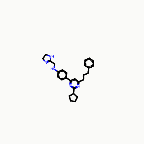 c1ccc(CCCc2cc(-c3ccc(NCC4=NCCN4)cc3)nc(C3CCCC3)n2)cc1